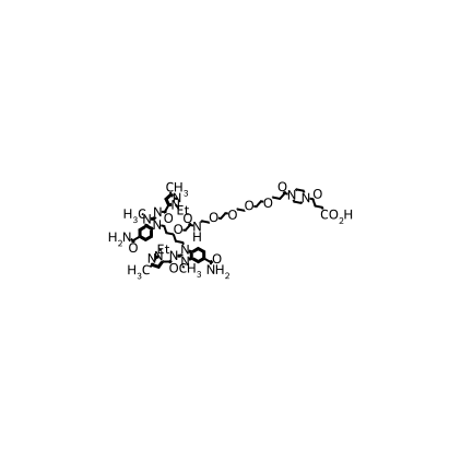 CCn1nc(C)cc1C(=O)N=c1n(C)c2cc(C(N)=O)ccc2n1CCC(CCn1c(=NC(=O)c2cc(C)nn2CC)n(C)c2cc(C(N)=O)ccc21)OCC(=O)NCCOCCOCCOCCOCCC(=O)N1CCN(C(=O)CCC(=O)O)CC1